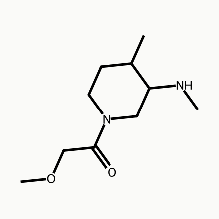 CNC1CN(C(=O)COC)CCC1C